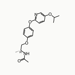 CC(=O)N[C@H](C)COc1ccc(Oc2ccc(OC(C)C)cn2)cc1